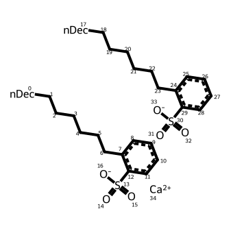 CCCCCCCCCCCCCCCCc1ccccc1S(=O)(=O)[O-].CCCCCCCCCCCCCCCCc1ccccc1S(=O)(=O)[O-].[Ca+2]